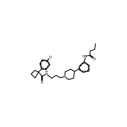 CCCC(=O)Nc1cccc(C2CCN(CCCNC(=O)C3(c4ccc(Cl)cc4)CCC3)CC2)c1